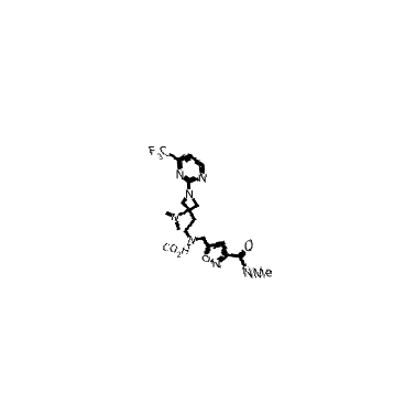 CNC(=O)c1cc(CN(CCC2(N(C)C)CN(c3nccc(C(F)(F)F)n3)C2)C(=O)O)on1